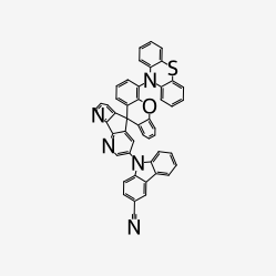 N#Cc1ccc2c(c1)c1ccccc1n2-c1cnc2c(c1)C1(c3ccccc3Oc3c(N4c5ccccc5Sc5ccccc54)cccc31)c1cccnc1-2